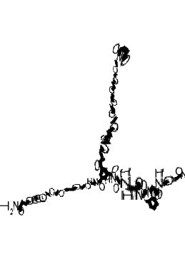 NC(=O)CCOCCOCCOCCOCCOCCOCCNC(=O)c1cc(C(=O)CCOCCOCCOCCOCCOCCOCCOCCOCCN2C(=O)C=CC2=O)cc(C(=O)NCC(=O)NCC(=O)N[C@@H](Cc2ccccc2)C(=O)NCC(=O)NCOCC(N)=O)c1